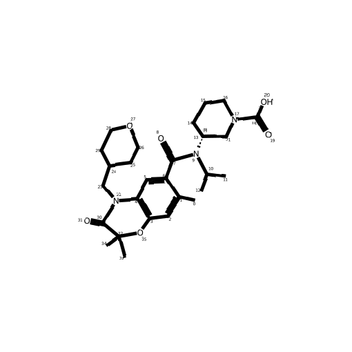 Cc1cc2c(cc1C(=O)N(C(C)C)[C@@H]1CCCN(C(=O)O)C1)N(CC1CCOCC1)C(=O)C(C)(C)O2